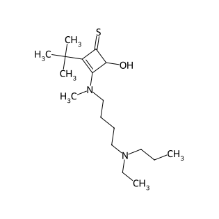 CCCN(CC)CCCCN(C)C1=C(C(C)(C)C)C(=S)C1O